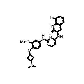 COc1cc(Nc2nccc(Nc3cc4cccc(F)c4[nH]c3=O)n2)ccc1OC1CC(N(C)C)C1